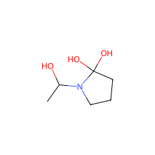 CC(O)N1CCCC1(O)O